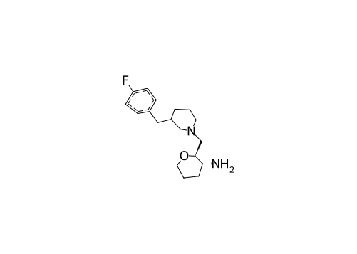 N[C@@H]1CCCO[C@H]1CN1CCCC(Cc2ccc(F)cc2)C1